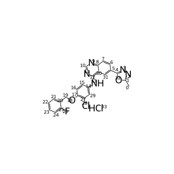 Cc1nnc(-c2ccc3ncnc(Nc4ccc(OCc5ccccc5F)c(Cl)c4)c3c2)o1.Cl